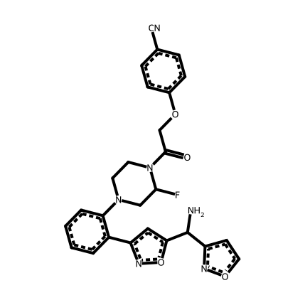 N#Cc1ccc(OCC(=O)N2CCN(c3ccccc3-c3cc(C(N)c4ccon4)on3)CC2F)cc1